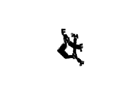 [2H]C1(F)N(F)C=CN1F